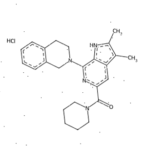 Cc1[nH]c2c(N3CCc4ccccc4C3)nc(C(=O)N3CCCCC3)cc2c1C.Cl